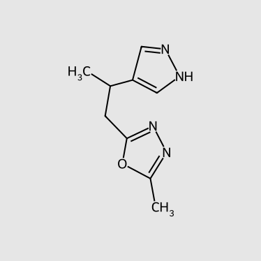 Cc1nnc(CC(C)c2cn[nH]c2)o1